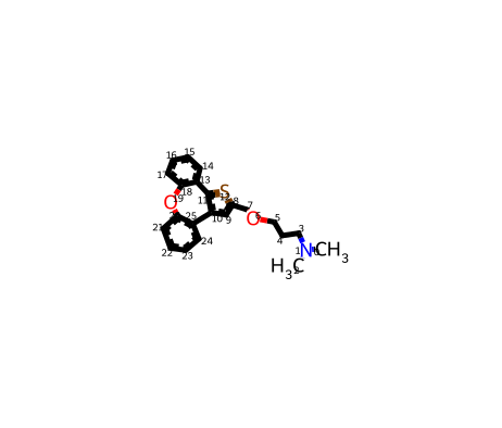 CN(C)CCCOCc1cc2c(s1)-c1ccccc1Oc1ccccc1-2